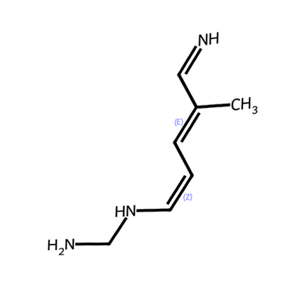 C/C(C=N)=C\C=C/NCN